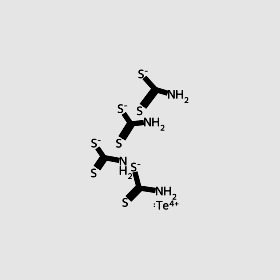 NC(=S)[S-].NC(=S)[S-].NC(=S)[S-].NC(=S)[S-].[Te+4]